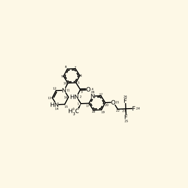 C[C@@H](NC(=O)c1ccccc1N1C=CNCC1)c1ccc(OCC(F)(F)F)cn1